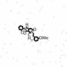 COc1cccc(CCn2c(C)c3c(=O)n(-c4ccccc4Cl)[nH]c3cc2=O)c1